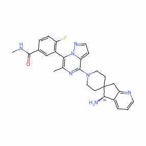 CNC(=O)c1ccc(F)c(-c2c(C)nc(N3CCC4(CC3)Cc3ncccc3[C@H]4N)c3ccnn23)c1